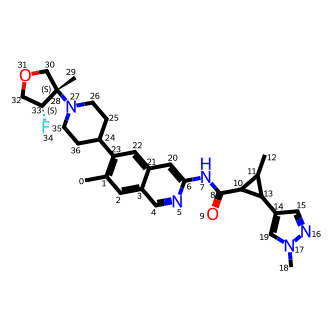 Cc1cc2cnc(NC(=O)C3C(C)C3c3cnn(C)c3)cc2cc1C1CCN([C@@]2(C)COC[C@H]2F)CC1